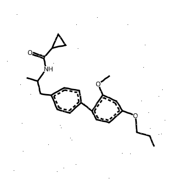 CCCOc1ccc(-c2ccc(CC(C)NC(=O)C3CC3)cc2)c(OC)c1